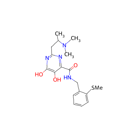 CSc1ccccc1CNC(=O)c1nc(CC(C)N(C)C)nc(O)c1O